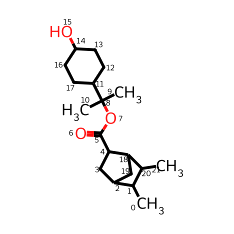 CC1C2CC(C(=O)OC(C)(C)C3CCC(O)CC3)C(C2)C1C